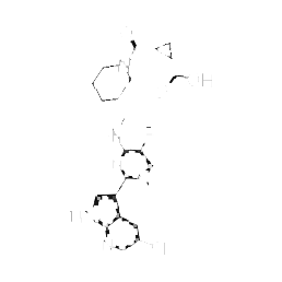 O=C(O)[C@H]1C[C@H]1C(=O)N1CCC[C@@H](CNc2nc(-c3c[nH]c4ncc(Cl)cc34)ncc2F)C1